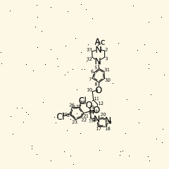 CC(=O)N1CCN(c2ccc(OCC3CO[C@](Cn4ccnc4)(c4ccc(Cl)cc4Cl)O3)cc2)CC1